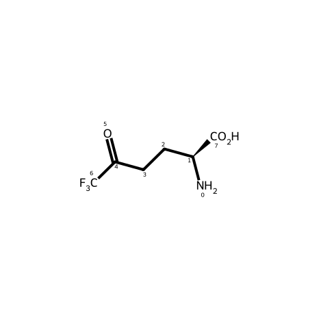 N[C@@H](CCC(=O)C(F)(F)F)C(=O)O